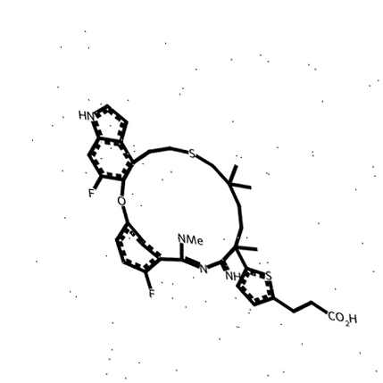 CN/C1=N\C(=N)C(C)(c2ccc(CCC(=O)O)s2)CCC(C)(C)CSCCc2c(c(F)cc3[nH]ccc23)Oc2ccc(F)c1c2